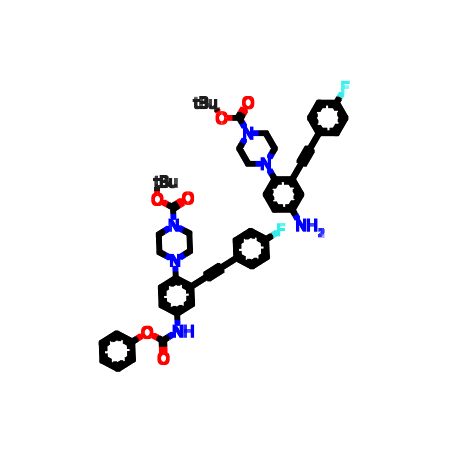 CC(C)(C)OC(=O)N1CCN(c2ccc(N)cc2C#Cc2ccc(F)cc2)CC1.CC(C)(C)OC(=O)N1CCN(c2ccc(NC(=O)Oc3ccccc3)cc2C#Cc2ccc(F)cc2)CC1